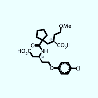 COCC[C@H](CC1(C(=O)N[C@@H](CCOc2ccc(Cl)cc2)CC(=O)O)CCCC1)C(=O)O